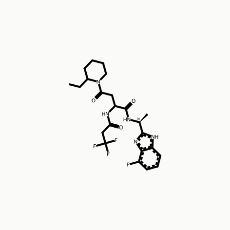 CCC1CCCCN1C(=O)CC(NC(=O)CC(F)(F)F)C(=O)N[C@@H](C)c1nc2c(F)cccc2[nH]1